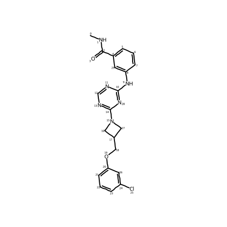 CNC(=O)c1cccc(Nc2ncnc(N3CC(COc4cccc(Cl)c4)C3)n2)c1